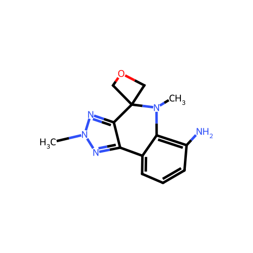 CN1c2c(N)cccc2-c2nn(C)nc2C12COC2